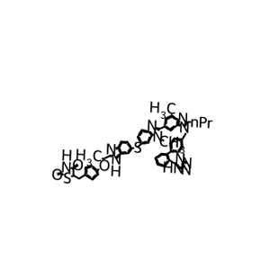 CCCc1nc2c(C)cc(-c3nc4ccc(Sc5ccc6nc(C(C)Oc7ccc(CC8SC(=O)NC8=O)cc7)[nH]c6c5)cc4n3C)cc2n1Cc1ccc(-c2ccccc2-c2nnn[nH]2)cc1